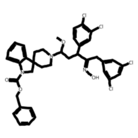 COC(CC(C(Cc1cc(Cl)cc(Cl)c1)=NO)c1ccc(Cl)c(Cl)c1)N1CCC2(CC1)CN(C(=O)OCc1ccccc1)c1ccccc12